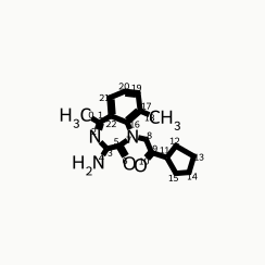 CC1=NC(N)C(=O)N(CC(=O)C2CCCC2)c2c(C)cccc21